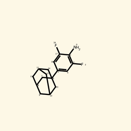 Nc1c(F)cc(C23CC4CC(CC(C4)C2)C3)cc1F